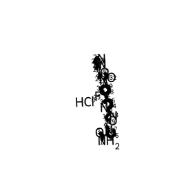 Cl.NC(=O)[C@@H]1CCCN1C[C@@H]1CC(c2ccc(-c3ccc(N4C[C@H](Cn5ccnn5)OC4=O)cc3F)cn2)=NO1